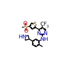 Cc1ccc(C2CNC2)cc1Nc1ncc(C(F)(F)F)c(-c2cc(S(C)(=O)=O)cs2)n1